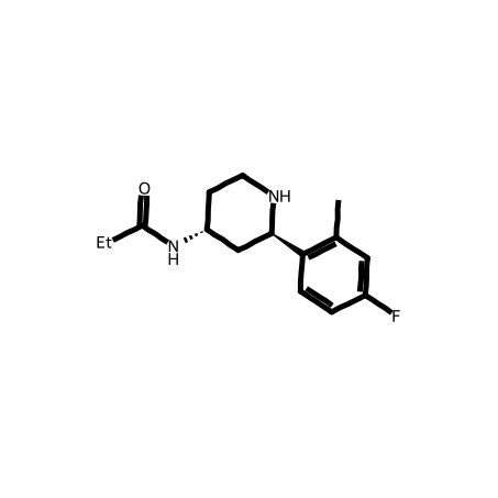 CCC(=O)N[C@@H]1CCN[C@@H](c2ccc(F)cc2C)C1